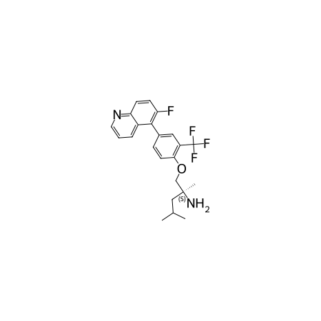 CC(C)C[C@](C)(N)COc1ccc(-c2c(F)ccc3ncccc23)cc1C(F)(F)F